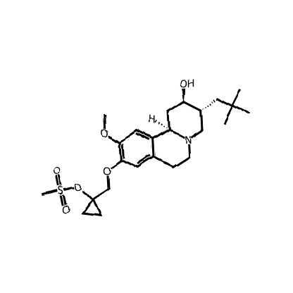 COc1cc2c(cc1OCC1(OS(C)(=O)=O)CC1)CCN1C[C@@H](CC(C)(C)C)[C@H](O)C[C@H]21